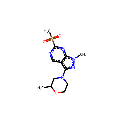 CC1CN(c2nn(C)c3nc(S(C)(=O)=O)ncc23)CCO1